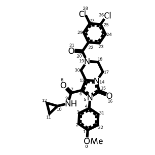 COc1ccc(-n2c(C(=O)NC3CC3)c3n(c2=O)CCN(C(=O)c2ccc(Cl)c(Cl)c2)C3)cc1